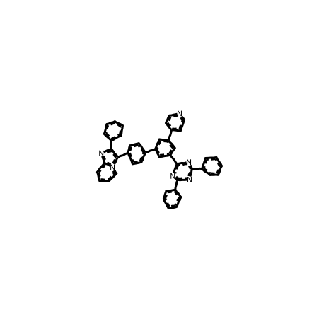 c1ccc(-c2nc(-c3ccccc3)nc(-c3cc(-c4ccncc4)cc(-c4ccc(-c5c(-c6ccccc6)nc6ccccn56)cc4)c3)n2)cc1